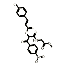 COC(=O)CNC(=O)C(OC(=O)/C=C/c1ccc(Cl)cc1)C(=O)c1ccc([N+](=O)[O-])cc1